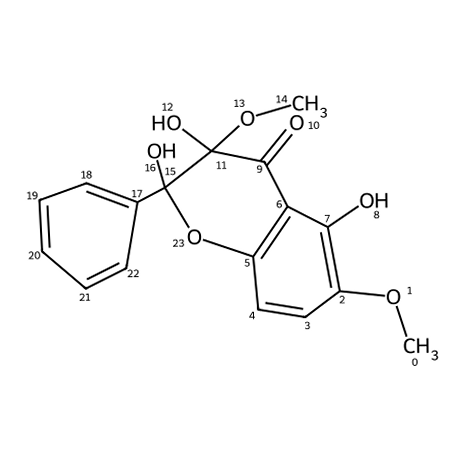 COc1ccc2c(c1O)C(=O)C(O)(OC)C(O)(c1ccccc1)O2